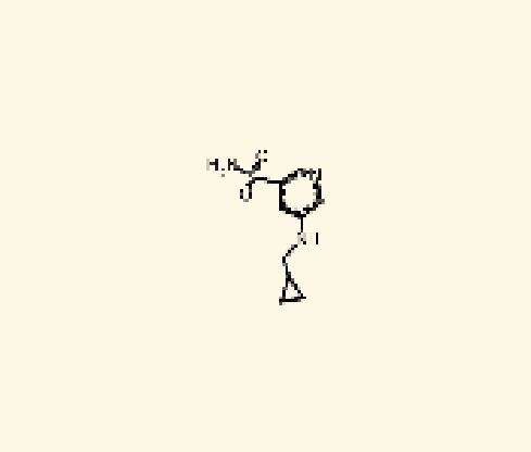 NS(=O)(=O)c1cncc(NCC2CC2)c1